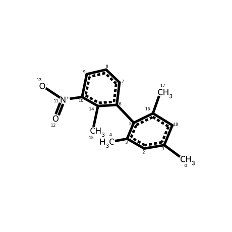 Cc1cc(C)c(-c2cccc([N+](=O)[O-])c2C)c(C)c1